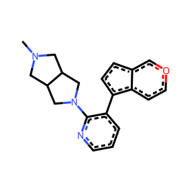 CN1CC2CN(c3ncccc3-c3ccc4coccc3-4)CC2C1